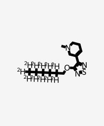 [2H]C([2H])([2H])C([2H])([2H])C([2H])([2H])C([2H])([2H])C([2H])([2H])COc1nsnc1C1=CCCN(C)C1